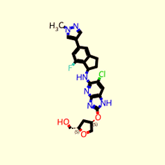 Cn1cc(-c2cc(F)c3c(c2)CCC3Nc2nc3nc(O[C@@H]4CO[C@H](CO)C4)[nH]c3cc2Cl)cn1